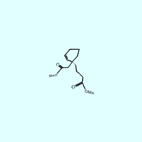 COC(=O)CCC[C@]1(CC(=O)OC)C=CCCC1